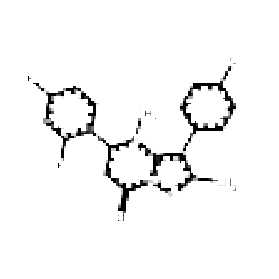 Cc1ccc(-c2c(C)nn3c(=O)cc(-c4ccc(F)cc4F)n(C)c23)cc1